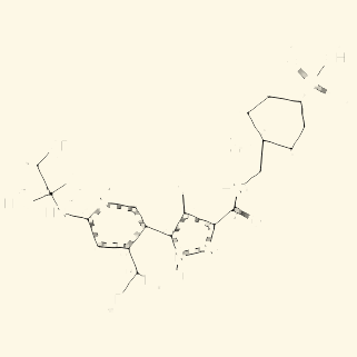 CCn1nc(C(=O)NC[C@]2(O)CC[C@@H](S(C)(=O)=O)CC2)c(Cl)c1-c1cnc(NC(C)(C)CC(F)(F)F)cc1C(F)F